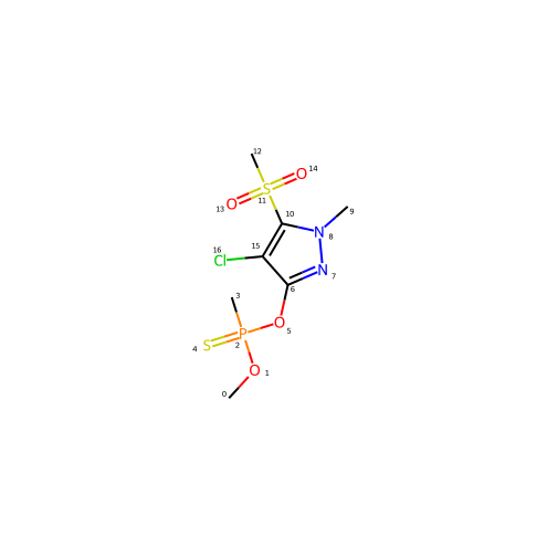 COP(C)(=S)Oc1nn(C)c(S(C)(=O)=O)c1Cl